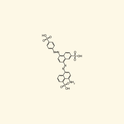 Nc1ccc(/N=N/c2ccc(/N=N/c3ccc(S(=O)(=O)O)cc3)c3ccc(S(=O)(=O)O)cc23)c2cccc(S(=O)(=O)O)c12